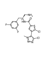 Cn1nnc(Cl)c1-c1cc(C(=O)N[C@H](CN)Cc2cc(F)cc(F)c2)sc1Cl